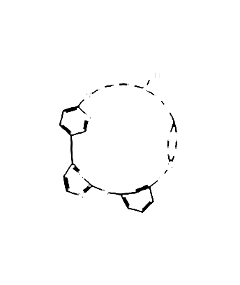 CN1CCCNc2ccc(cn2)-c2ccnc(n2)Nc2cccc(c2)CN2CCC(CC1)CC2